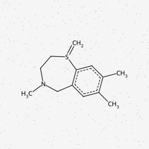 C=S1CCN(C)Cc2cc(C)c(C)cc21